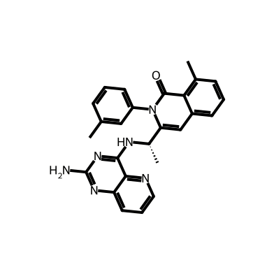 Cc1cccc(-n2c([C@H](C)Nc3nc(N)nc4cccnc34)cc3cccc(C)c3c2=O)c1